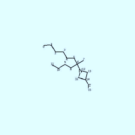 CCCCCCC(C)(CCCC)N1CC(F)C1